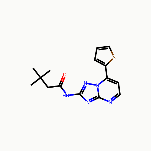 CC(C)(C)CC(=O)Nc1nc2nccc(-c3cccs3)n2n1